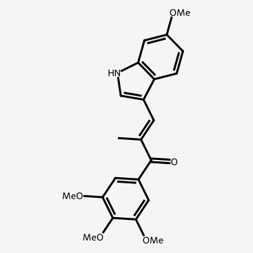 COc1ccc2c(/C=C(\C)C(=O)c3cc(OC)c(OC)c(OC)c3)c[nH]c2c1